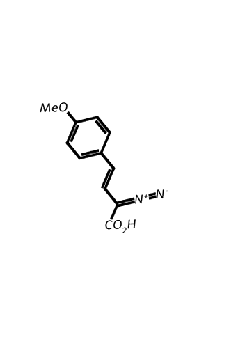 COc1ccc(C=CC(=[N+]=[N-])C(=O)O)cc1